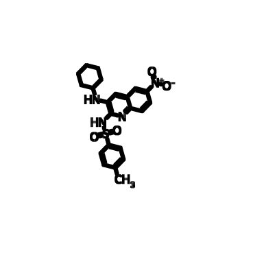 Cc1ccc(S(=O)(=O)Nc2nc3ccc([N+](=O)[O-])cc3cc2NC2CCCCC2)cc1